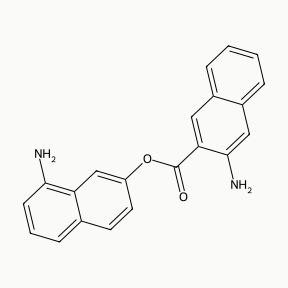 Nc1cc2ccccc2cc1C(=O)Oc1ccc2cccc(N)c2c1